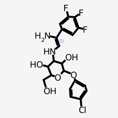 N/C(=C\NC1C(O)C(CO)OC(Oc2ccc(Cl)cc2)C1O)c1cc(F)c(F)c(F)c1